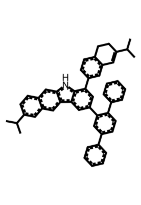 CC(C)C1=Cc2cc(-c3cc(-c4cc(-c5ccccc5)ccc4-c4ccccc4)cc4c3[nH]c3cc5ccc(C(C)C)cc5cc34)ccc2CC1